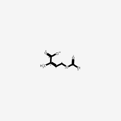 CCC(=O)OCC=C(C)C(=O)Cl